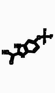 O=C(O)c1nc2ccc(OC(F)(F)F)cc2[nH]1